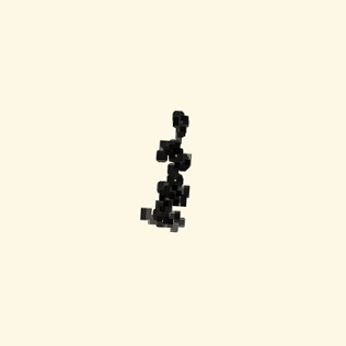 CC(C)(C)c1cc(NC(=O)Nc2ccc(Oc3ccnc4cc(OCCCN5CCOCC5)c(C(N)=O)cc34)cc2Cl)[nH]n1